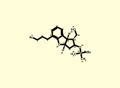 CC(=O)CCCc1cccc2c1O[C@H]1CC(O[Si](C)(C)C(C)(C)C)[C@H](CO)[C@@H]21